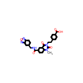 Cn1c(=O)n(CCc2ccc(C(=O)O)cc2)c(=O)c2cc(C(=O)NCc3ccc4nonc4c3)ccc21